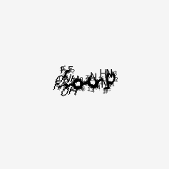 O=C(N[C@H](CF)[C@H](O)c1ccc(-c2ccc(CN3CCC34CCCNC4)nc2)cc1)C(F)F